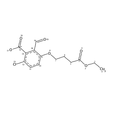 CCOC(=O)CCCOc1ccc(Cl)c([N+](=O)[O-])c1C=O